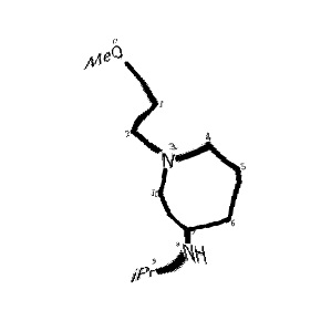 COCCN1CCCC(NC(C)C)C1